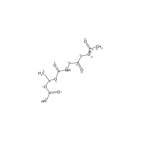 CCCC(=O)OC(C)OC(=O)NCC(=O)CO[PH](C)=O